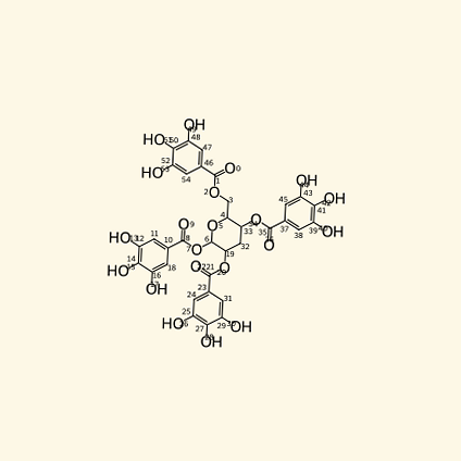 O=C(OCC1OC(OC(=O)c2cc(O)c(O)c(O)c2)C(OC(=O)c2cc(O)c(O)c(O)c2)CC1OC(=O)c1cc(O)c(O)c(O)c1)c1cc(O)c(O)c(O)c1